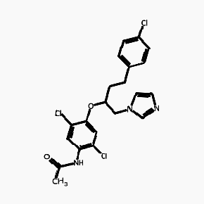 CC(=O)Nc1cc(Cl)c(OC(CCc2ccc(Cl)cc2)Cn2ccnc2)cc1Cl